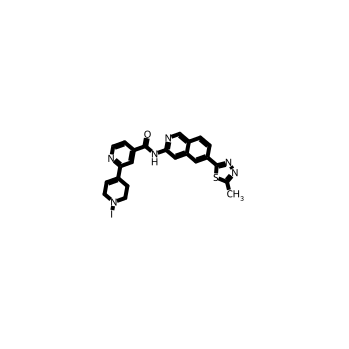 Cc1nnc(-c2ccc3cnc(NC(=O)c4ccnc(C5=CCN(I)CC5)c4)cc3c2)s1